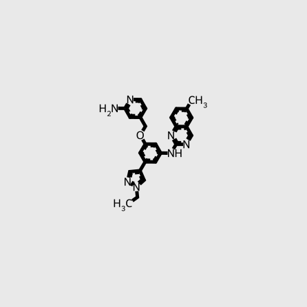 CCn1cc(-c2cc(Nc3ncc4cc(C)ccc4n3)cc(OCc3ccnc(N)c3)c2)cn1